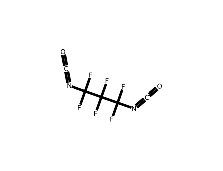 O=C=NC(F)(F)C(F)(F)C(F)(F)N=C=O